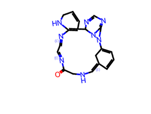 O=C1CN/C=C2/C=CC=C(C2)N2C3=NC=NC(C4=C(/N=C/C=N/1)NCC=C4)N32